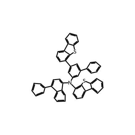 c1ccc(-c2cc(-c3cccc4c3sc3ccccc34)cc(N(c3ccc(-c4ccccc4)c4ccccc34)c3cccc4c3sc3ccccc34)c2)cc1